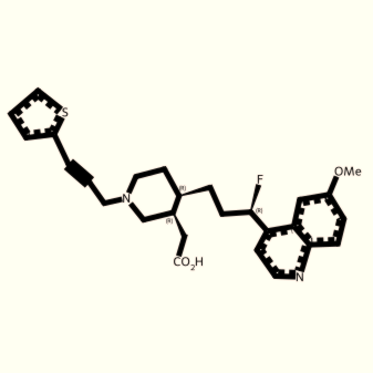 COc1ccc2nccc([C@H](F)CC[C@@H]3CCN(CC#Cc4cccs4)C[C@@H]3CC(=O)O)c2c1